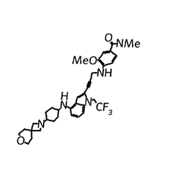 CNC(=O)c1ccc(NCC#Cc2cc3c(NC4CCC(N5CC6(CCOCC6)C5)CC4)cccc3n2CC(F)(F)F)c(OC)c1